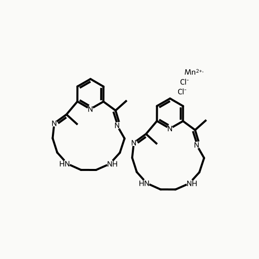 C/C1=N\CCNCCNCC/N=C(\C)c2cccc1n2.C/C1=N\CCNCCNCC/N=C(\C)c2cccc1n2.[Cl-].[Cl-].[Mn+2]